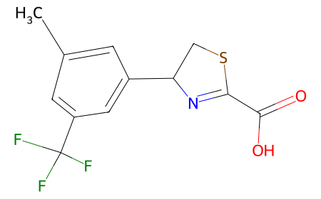 Cc1cc(C2CSC(C(=O)O)=N2)cc(C(F)(F)F)c1